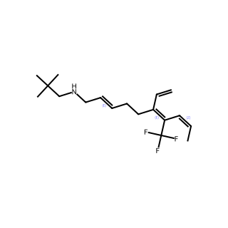 C=C/C(CC/C=C/CNCC(C)(C)C)=C(\C=C/C)C(F)(F)F